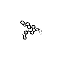 CC1(C)c2ccccc2-c2c(N(c3ccc4sc5ccccc5c4c3)c3ccc4ccc5c6ccccc6oc5c4c3)cccc21